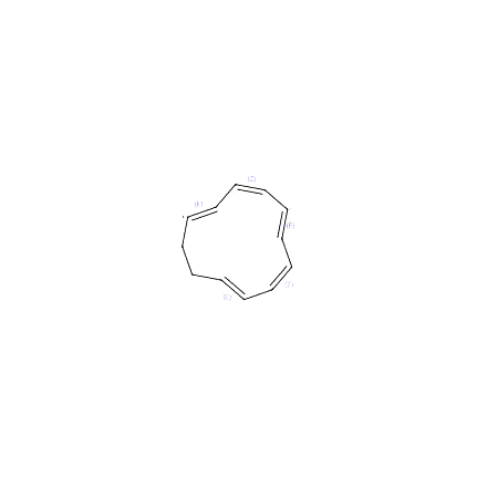 [C]1=C/C=C\C=C\C=C/C=C/CC/1